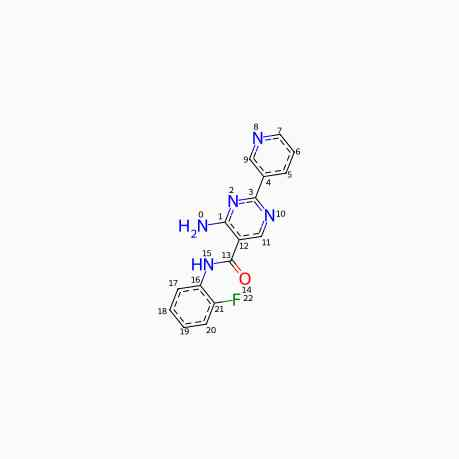 Nc1nc(-c2cccnc2)ncc1C(=O)Nc1ccccc1F